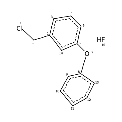 ClCc1cccc(Oc2ccccc2)c1.F